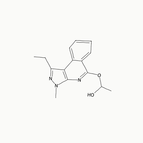 CCc1nn(C)c2nc(OC(C)O)c3ccccc3c12